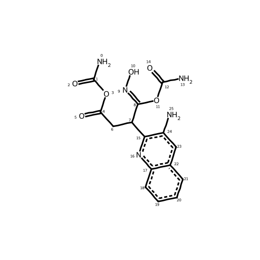 NC(=O)OC(=O)CC(/C(=N/O)OC(N)=O)c1nc2ccccc2cc1N